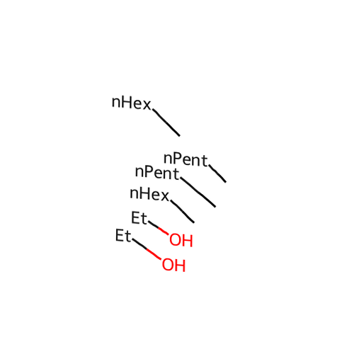 CCCCCC.CCCCCC.CCCCCCC.CCCCCCC.CCO.CCO